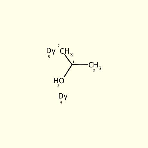 CC(C)O.[Dy].[Dy]